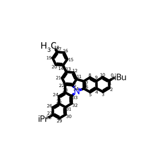 CCC(C)c1ccc2cc3c(cc2c1)c1cc(-c2ccc(C)cc2)cc2c4cc5cc(C(C)C)ccc5cc4n3c21